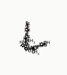 Cn1c(C(=O)Nc2cccc(-c3cccc(NC(=O)c4nc5c(n4C)CCN(CCC46CCC(C(=O)O)(CC4)C6)C5)c3Cl)c2Cl)nc2c1CCN(CCC13CCC(COC(F)F)(CC1)C3)C2